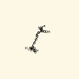 Cn1c(=O)n([C@H]2CCC(=O)NC2=O)c2ccc(CCCOCCCOCCN3CCN(Cc4ccc(-c5cn([C@H]6CC[C@H](O)CC6)c6nc(NCCC7CC7)ncc56)cc4)CC3)cc21